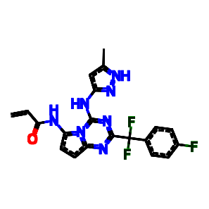 C=CC(=O)Nc1ccc2nc(C(F)(F)c3ccc(F)cc3)nc(Nc3cc(C)[nH]n3)n12